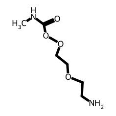 CNC(=O)OOCCOCCN